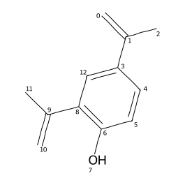 C=C(C)c1ccc(O)c(C(=C)C)c1